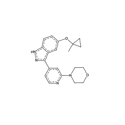 CC1(Oc2ccc3[nH]nc(-c4ccnc(N5CCOCC5)c4)c3c2)CC1